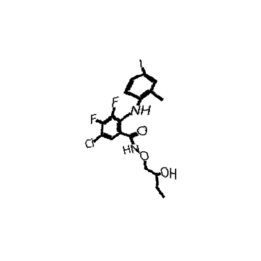 CCC(O)CONC(=O)c1cc(Cl)c(F)c(F)c1Nc1ccc(I)cc1C